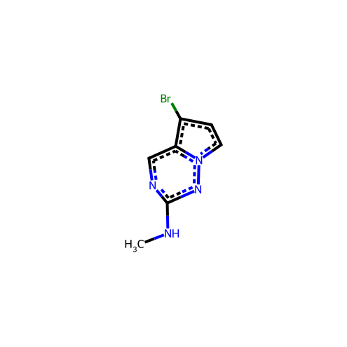 CNc1ncc2c(Br)ccn2n1